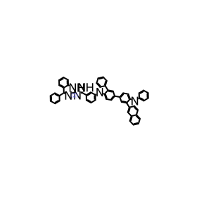 N=C(/N=c1/nc(-c2ccccc2)c2ccccc2[nH]1)c1cccc(-n2c3ccccc3c3cc(-c4ccc5c(c4)c4cc6ccccc6cc4n5-c4ccccc4)ccc32)c1